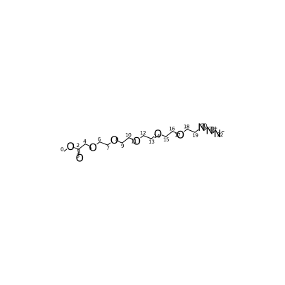 COC(=O)COCCOCCOCCOCCOCCN=[N+]=[N-]